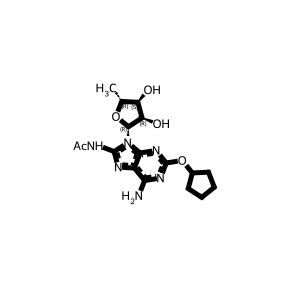 CC(=O)Nc1nc2c(N)nc(OC3CCCC3)nc2n1[C@@H]1O[C@H](C)[C@@H](O)[C@H]1O